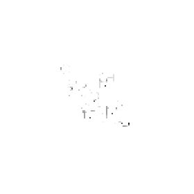 CN1CCC[C@H](Oc2ncc(C(=O)OCc3ccccc3)cc2-c2ccnc3cc(CN4C(=O)C5C(C4=O)C5(C)C)sc23)C1